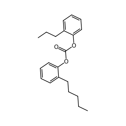 CCCCCc1ccccc1OC(=O)Oc1ccccc1CCC